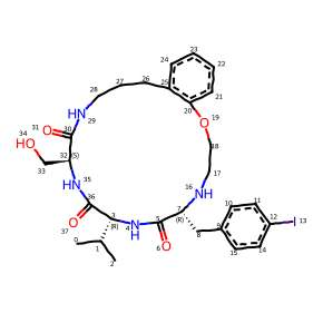 CC(C)[C@H]1NC(=O)[C@@H](Cc2ccc(I)cc2)NCCOc2ccccc2CCCNC(=O)[C@H](CO)NC1=O